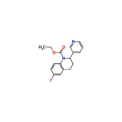 CCOC(=O)N1c2ccc(I)cc2CCC1c1cccnc1